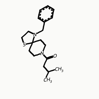 CC(C)CC(=O)N1CCC2(CC1)SCCN2Cc1ccccc1